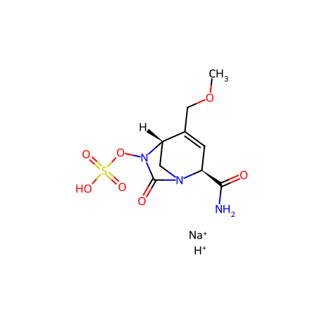 COCC1=C[C@@H](C(N)=O)N2C[C@@H]1N(OS(=O)(=O)O)C2=O.[H+].[Na+]